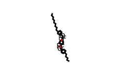 CCCCCCCCCCc1ccc(OC(F)(F)c2ccc(C(F)(F)Oc3ccc(CCCCC)cc3)cc2)cc1